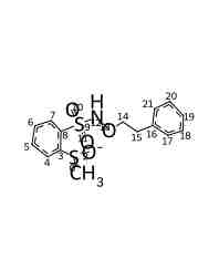 C[S+]([O-])c1ccccc1S(=O)(=O)NOCCc1ccccc1